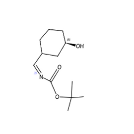 CC(C)(C)OC(=O)/N=C\C1CCC[C@@H](O)C1